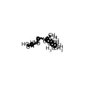 C=C(C)[C@@H]1CC[C@]2(C(=O)NCCc3cccc(C(=O)NCc4ccc(C(=O)O)cn4)c3)CC[C@]3(C)C(CCC4[C@@]5(C)CC[C@H](O)C(C)(C)C5CC[C@]43C)C12